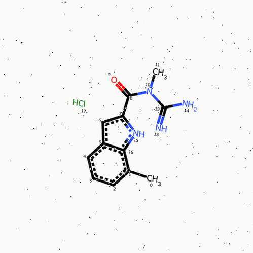 Cc1cccc2cc(C(=O)N(C)C(=N)N)[nH]c12.Cl